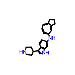 C1=CC=C2CCCC2=CC=1Nc1ccc2c(C3CCNCC3)c[nH]c2c1